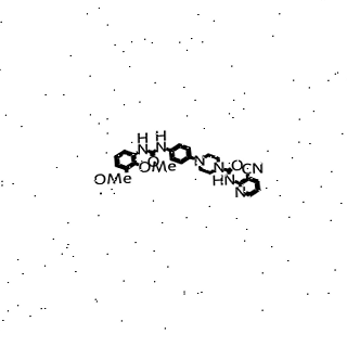 COc1cccc(NC(=O)Nc2ccc(N3CCN(C(=O)Nc4ncccc4C#N)CC3)cc2)c1OC